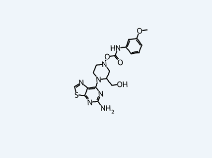 COc1cccc(NC(=O)ON2CCN(c3nc(N)nc4scnc34)C(CO)C2)c1